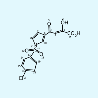 O=C(O)/C(O)=C/C(=O)c1ccn(S(=O)(=O)c2ccc(Cl)cc2)c1